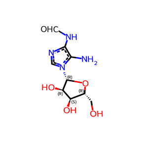 Nc1c(NC=O)ncn1[C@@H]1O[C@H](CO)[C@@H](O)[C@H]1O